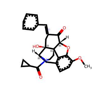 COc1ccc2c3c1O[C@H]1C(=O)/C(=C/c4ccccc4)C[C@@]4(O)[C@@H](C2)N(C(=O)C2CC2)CC[C@]314